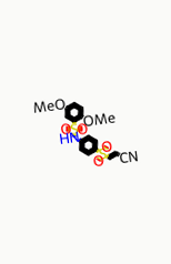 COc1ccc(OC)c(S(=O)(=O)Nc2ccc(S(=O)(=O)/C=C/C#N)cc2)c1